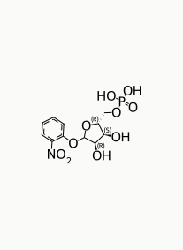 O=[N+]([O-])c1ccccc1OC1O[C@H](COP(=O)(O)O)[C@@H](O)[C@H]1O